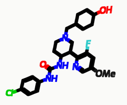 COc1cnc(C2CN(CC3CCC(O)CC3)CCC2NC(=O)Nc2ccc(Cl)cc2)c(F)c1